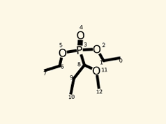 CCOP(=O)(OCC)C(CC)OC